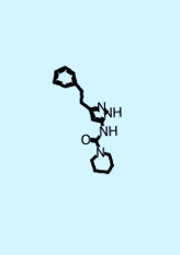 O=C(Nc1cc(CCc2ccccc2)n[nH]1)N1CCCCC1